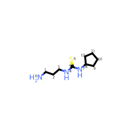 NCCCNC(=S)NC1CCCC1